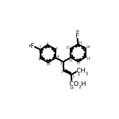 C/C(=C\C(c1ccc(F)cc1)c1cccc(F)c1)C(=O)O